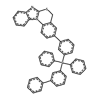 c1ccc(-c2cccc([Si](c3ccccc3)(c3ccccc3)c3cccc(-c4ccc5c(c4)CSc4nc6ccccc6n4-5)c3)c2)cc1